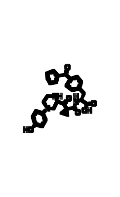 O=C(c1ccccc1)c1ccc(C[C@H](NC(=O)C2(C(=O)C3CN(c4ccc(O)cc4)CCN3)CC2)C(=O)O)cc1